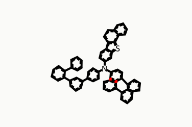 c1ccc(-c2ccccc2-c2cccc(-c3ccc(N(c4ccc(-c5cccc6cccc(-c7ccccc7)c56)cc4)c4ccc5c(c4)sc4c6ccccc6ccc54)cc3)c2)cc1